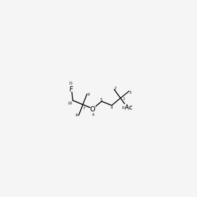 CC(=O)C(C)(C)CCOC(C)(C)CF